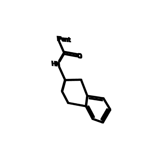 CCCC(C)C(=O)NC1CCc2ccccc2C1